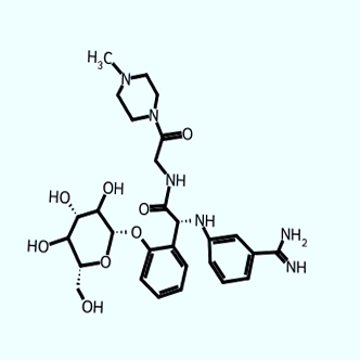 CN1CCN(C(=O)CNC(=O)[C@H](Nc2cccc(C(=N)N)c2)c2ccccc2O[C@@H]2O[C@H](CO)C(O)[C@H](O)C2O)CC1